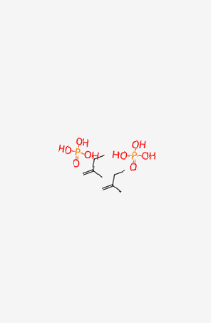 C=C(C)CC.C=C(C)CC.O=P(O)(O)O.O=P(O)(O)O